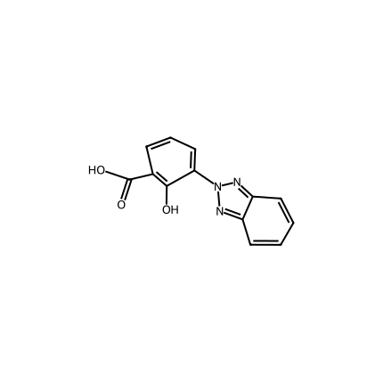 O=C(O)c1cccc(-n2nc3ccccc3n2)c1O